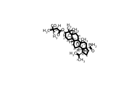 C=C(C)[C@@H]1CC[C@]2(C(N)=O)CC[C@]3(C)[C@H](CC[C@@H]4[C@@]5(C)CC[C@H](OC(=O)CC(C)(C)C(=O)O)C(C)(C)[C@@H]5CC[C@]43C)[C@@H]12